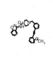 COc1ccccc1C#Cc1cccc(CN2CCN(C(=O)Nc3noc4ccccc34)CC2)c1